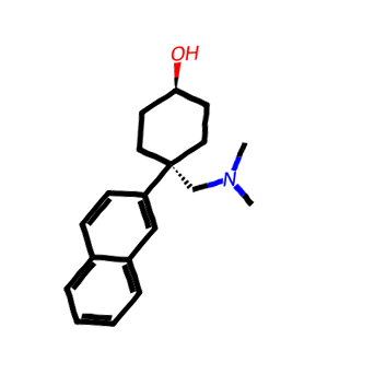 CN(C)C[C@]1(c2ccc3ccccc3c2)CC[C@@H](O)CC1